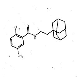 Cc1ccc(C)c(C(=O)NCCC23CC4CC(CC(C4)C2)C3)c1